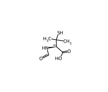 CC(C)(S)[C@H](NC=O)C(=O)O